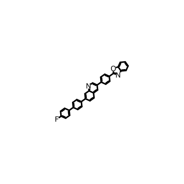 Fc1ccc(-c2ccc(-c3ccc4cc(-c5ccc(-c6nc7ccccc7o6)cc5)cnc4c3)cc2)cc1